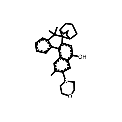 Cc1cc2c3c(cc(O)c2cc1N1CCOCC1)C1(C2CCCC1CCC2)C(C)(C)c1ccccc1-3